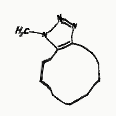 Cn1nnc2c1CCCCCCCC2